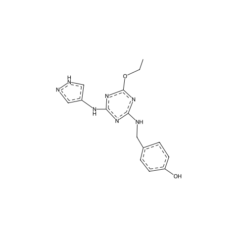 CCOc1nc(NCc2ccc(O)cc2)nc(Nc2cn[nH]c2)n1